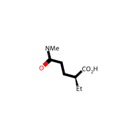 CC[C@@H](CCC(=O)NC)C(=O)O